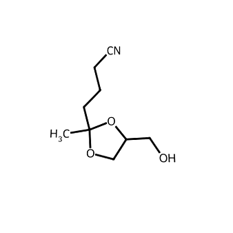 CC1(CCCC#N)OCC(CO)O1